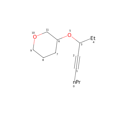 CCCC#CC(CC)OC1CCCOC1